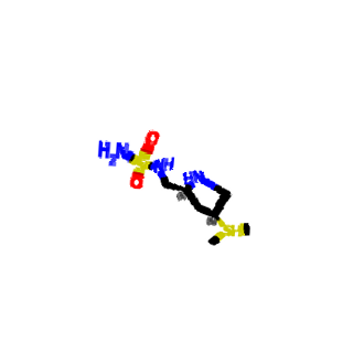 C#[SH](C)[C@@H]1CN[C@H](CNS(N)(=O)=O)C1